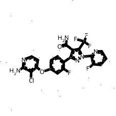 NC(=O)c1c(-c2ccc(Oc3ccnc(N)c3Cl)cc2F)nn(-c2ncccc2F)c1C(F)(F)F